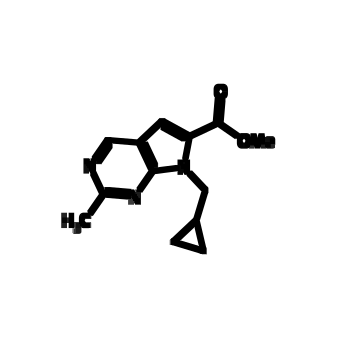 COC(=O)c1cc2cnc(C)nc2n1CC1CC1